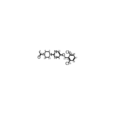 CC(=O)N1CCN(c2ncc(OCc3c(Cl)cccc3Cl)cn2)CC1